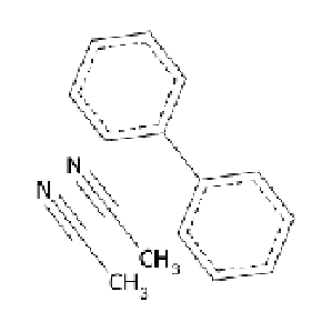 CC#N.CC#N.c1ccc(-c2ccccc2)cc1